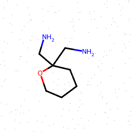 NCC1(CN)CCCCO1